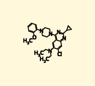 CCN(CC)c1cc2c(N3CCN(c4ccccc4OC)CC3)nc(C3CC3)nc2cc1Cl